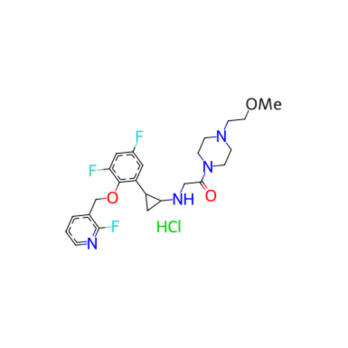 COCCN1CCN(C(=O)CNC2CC2c2cc(F)cc(F)c2OCc2cccnc2F)CC1.Cl